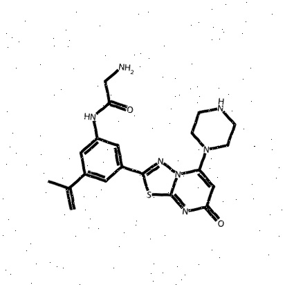 C=C(C)c1cc(NC(=O)CN)cc(-c2nn3c(N4CCNCC4)cc(=O)nc3s2)c1